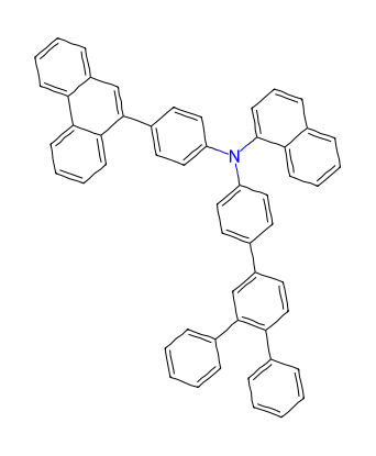 c1ccc(-c2ccc(-c3ccc(N(c4ccc(-c5cc6ccccc6c6ccccc56)cc4)c4cccc5ccccc45)cc3)cc2-c2ccccc2)cc1